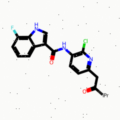 CC(C)C(=O)Cc1ccc(NC(=O)c2c[nH]c3c(F)cccc23)c(Cl)n1